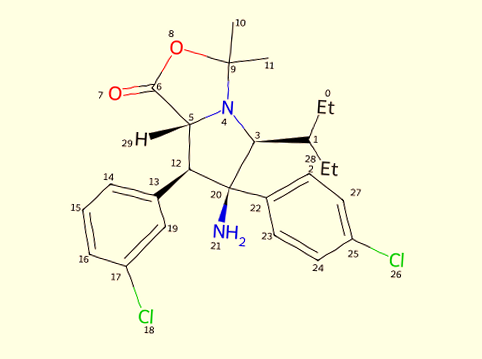 CCC(CC)[C@@H]1N2[C@@H](C(=O)OC2(C)C)[C@H](c2cccc(Cl)c2)[C@@]1(N)c1ccc(Cl)cc1